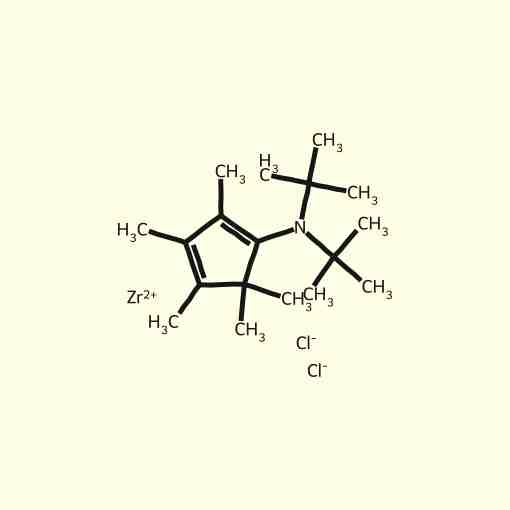 CC1=C(C)C(C)(C)C(N(C(C)(C)C)C(C)(C)C)=C1C.[Cl-].[Cl-].[Zr+2]